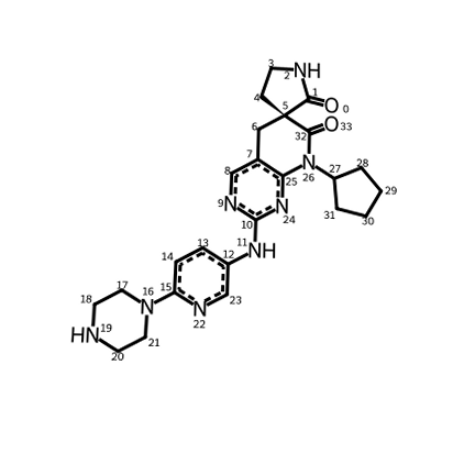 O=C1NCC[C@@]12Cc1cnc(Nc3ccc(N4CCNCC4)nc3)nc1N(C1CCCC1)C2=O